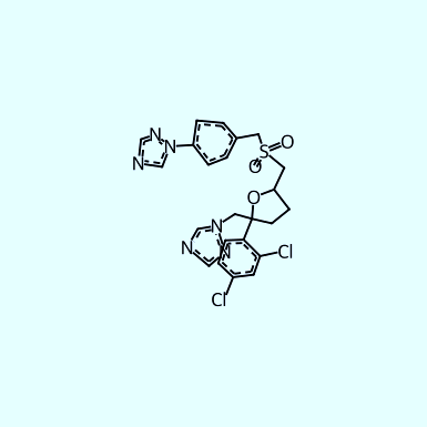 O=S(=O)(Cc1ccc(-n2cncn2)cc1)CC1CCC(Cn2cncn2)(c2ccc(Cl)cc2Cl)O1